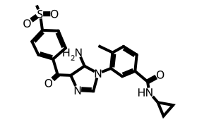 Cc1ccc(C(=O)NC2CC2)cc1N1C=NC(C(=O)c2ccc(S(C)(=O)=O)cc2)C1N